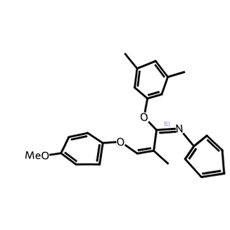 COc1ccc(OC=C(C)/C(=N\c2ccccc2)Oc2cc(C)cc(C)c2)cc1